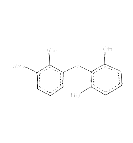 CCCCc1cccc(Sc2c(O)cccc2O)c1CCCC